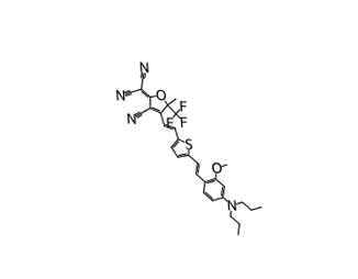 CCCN(CCC)c1ccc(/C=C/c2ccc(/C=C/C3=C(C#N)C(=C(C#N)C#N)OC3(C)C(F)(F)F)s2)c(OC)c1